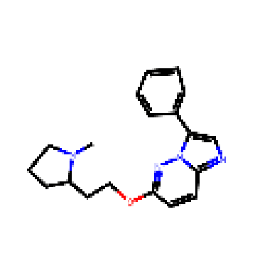 CN1CCCC1CCOc1ccc2ncc(-c3ccccc3)n2n1